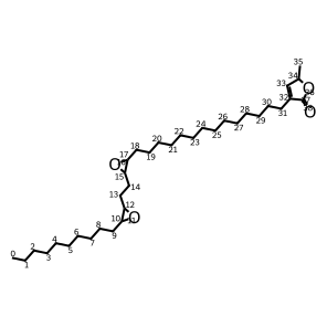 CCCCCCCCCCC1OC1CCC1OC1CCCCCCCCCCCCCCC1=CC(C)OC1=O